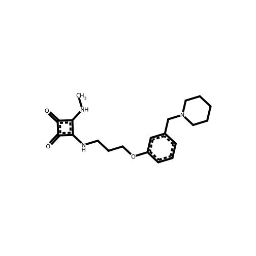 CNc1c(NCCCOc2cccc(CN3CCCCC3)c2)c(=O)c1=O